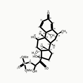 COP(=O)(OC)OC(O)C(=O)[C@@]1(O)CC[C@H]2[C@@H]3C[C@H](C)C4=CC(=O)C=C[C@]4(C)[C@H]3C(O)C[C@@]21C